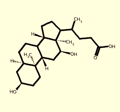 CC(CCC(=O)O)C1CC[C@H]2C3CC[C@@H]4C[C@H](O)CC[C@]4(C)[C@H]3C[C@H](O)[C@]12C